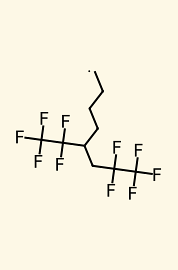 [CH2]CCCC(CC(F)(F)C(F)(F)F)C(F)(F)C(F)(F)F